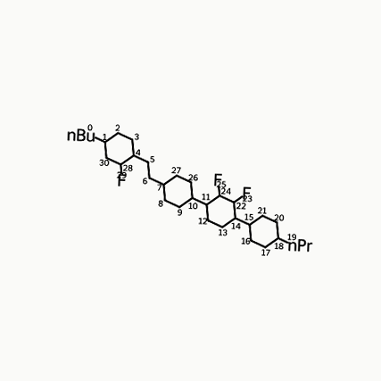 CCCCC1CCC(CCC2CCC(C3CCC(C4CCC(CCC)CC4)C(F)C3F)CC2)C(F)C1